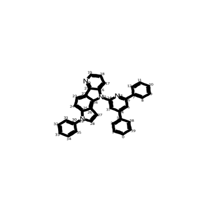 c1ccc(-c2cc(-c3ccccc3)nc(-n3c4cccnc4c4ccc5c(ccn5-c5ccccc5)c43)c2)cc1